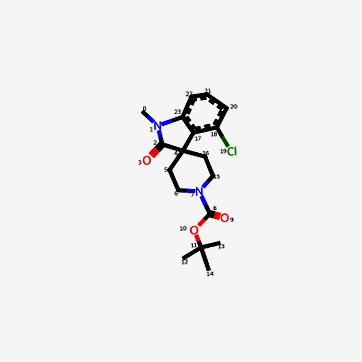 CN1C(=O)C2(CCN(C(=O)OC(C)(C)C)CC2)c2c(Cl)cccc21